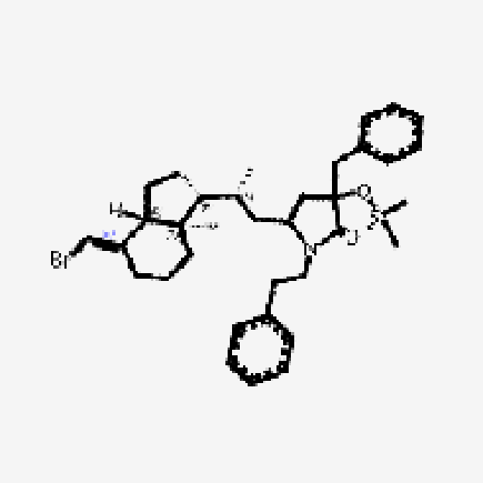 C[C@H](CC1CC(Cc2ccccc2)(O[Si](C)(C)C)C(=O)N1CCc1ccccc1)[C@H]1CC[C@H]2/C(=C/Br)CCC[C@]12C